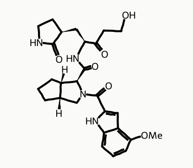 COc1cccc2[nH]c(C(=O)N3C[C@@H]4CCC[C@@H]4[C@H]3C(=O)N[C@@H](C[C@@H]3CCNC3=O)C(=O)CCO)cc12